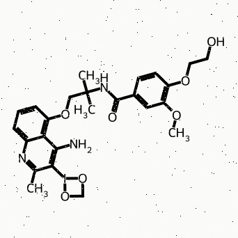 COc1cc(C(=O)NC(C)(C)COc2cccc3nc(C)c(I4OCO4)c(N)c23)ccc1OCCO